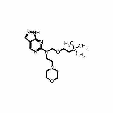 C[Si](C)(C)CCOCN(CCN1CCOCC1)c1ncc2cn[nH]c2n1